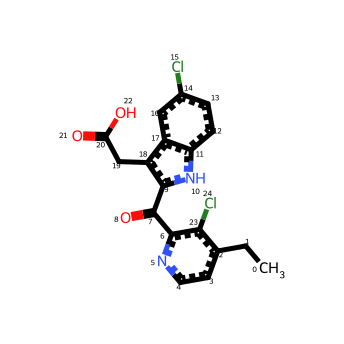 CCc1ccnc(C(=O)c2[nH]c3ccc(Cl)cc3c2CC(=O)O)c1Cl